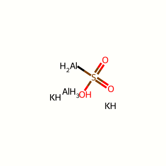 O=[S](=O)(O)[AlH2].[AlH3].[KH].[KH]